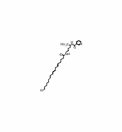 CCC=CCC=CCC=CCC=CCC=CCCCC(=O)NCCCCC(NC(=O)c1cccnc1)C(=O)O